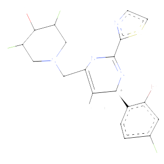 CCOC(=O)C1=C(CN2CC(F)C(O)C(F)C2)NC(c2nccs2)=N[C@H]1c1ccc(F)cc1Br